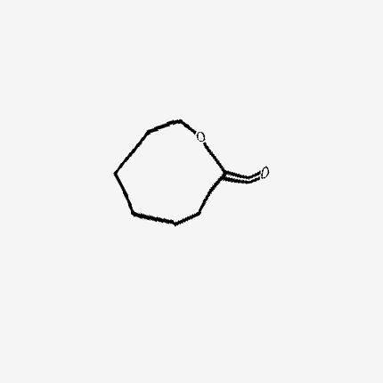 O=C1CCCCCCO1